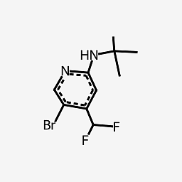 CC(C)(C)Nc1cc(C(F)F)c(Br)cn1